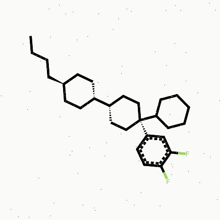 CCCC[C@H]1CC[C@H]([C@H]2CC[C@](c3ccc(F)c(F)c3)(C3CCCCC3)CC2)CC1